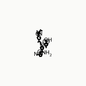 CC(C)c1noc(N2CCC(C(C)CCOc3ccc(C(N)C(=O)N4CCCC4C#N)cc3)CC2)n1.Cc1ccc(S(=O)(=O)O)cc1